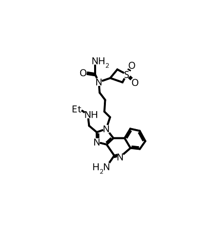 CCNCc1nc2c(N)nc3ccccc3c2n1CCCCN(C(N)=O)C1CS(=O)(=O)C1